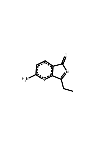 CCC1=NC(=O)c2ccc(N)nc21